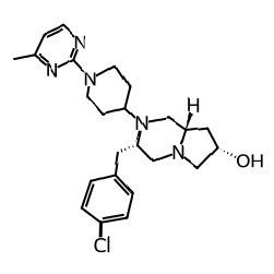 Cc1ccnc(N2CCC(N3C[C@@H]4C[C@H](O)CN4C[C@@H]3Cc3ccc(Cl)cc3)CC2)n1